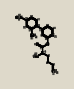 C=CCCN(C(=O)Oc1cc(-c2ccc([N+](=O)[O-])cc2N)ccn1)C(C)(C)C